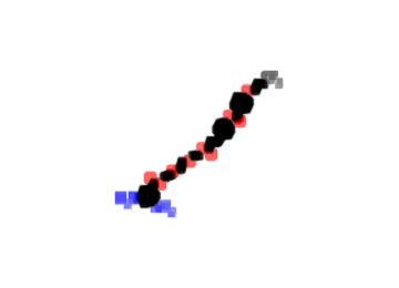 Nc1cc(N)cc(C(=O)OCCOCCOCCOC(=O)/C=C/c2ccc(OC(=O)c3ccc(OCCCC(F)(F)F)cc3)cc2)c1